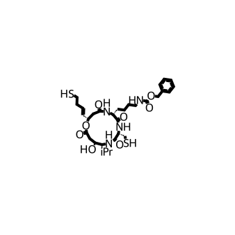 CC(C)[C@H]1NC(=O)[C@@H](CS)NC(=O)[C@@H](CCCCNC(=O)OCc2ccccc2)NC(=O)C[C@@H](/C=C/CCS)OC(=O)C[C@@H]1O